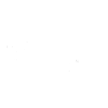 CCN(C(=O)CCC1CCCc2c(C(=O)C(=O)O)cccc21)C(c1ccccc1)c1ccccc1